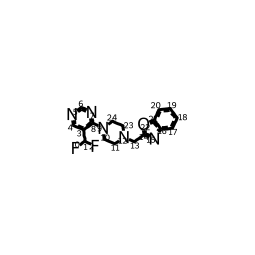 FC(F)c1cncnc1N1CCN(Cc2nc3ccccc3o2)CC1